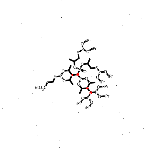 CCOC(=O)CCSP(OC(C)CSP(OC(C)CSP(OC(C)C)OC(C)C)OC(C)CSP(OC(C)C)OC(C)C)OC(C)CSP(=O)(OC(C)CSP(OC(C)C)OC(C)C)OC(C)CSP(OC(C)C)OC(C)C